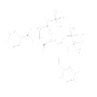 CC(C)(C)OC(=O)N[C@@H](CC(=O)N1CCOCC1)C(=O)N[C@@H](CCCc1ccccc1)B1OC(C)(C)C(C)(C)O1